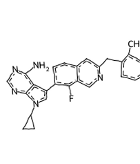 Cc1ccccc1Cc1cc2ccc(-c3cn(C4CC4)c4ncnc(N)c34)c(F)c2cn1